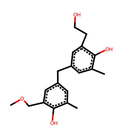 COCc1cc(Cc2cc(C)c(O)c(CCO)c2)cc(C)c1O